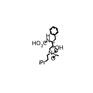 CC(C)CCN(C[C@H](O)[C@H](Cc1ccccc1)NC(=O)O)S(C)(=O)=O